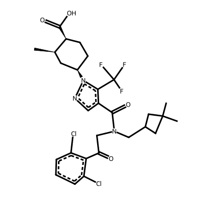 C[C@@H]1C[C@H](n2ncc(C(=O)N(CC(=O)c3c(Cl)cccc3Cl)CC3CC(C)(C)C3)c2C(F)(F)F)CC[C@@H]1C(=O)O